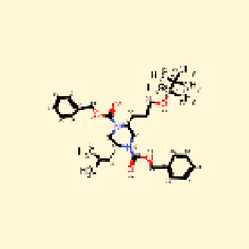 CC(C)C[C@@H]1CN(C(=O)OCc2ccccc2)[C@@H](CCCO[Si](C)(C)C(C)(C)C)CN1C(=O)OCc1ccccc1